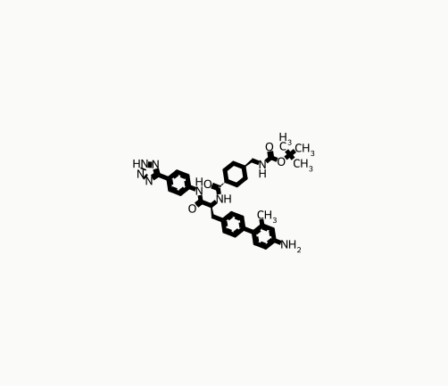 Cc1cc(N)ccc1-c1ccc(C[C@H](NC(=O)[C@H]2CC[C@H](CNC(=O)OC(C)(C)C)CC2)C(=O)Nc2ccc(-c3nn[nH]n3)cc2)cc1